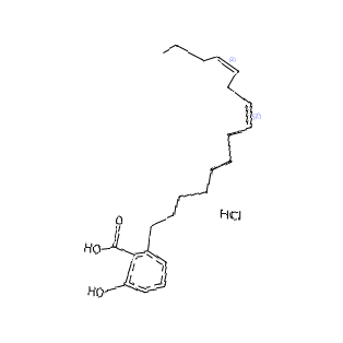 CCC/C=C\C/C=C\CCCCCCCc1cccc(O)c1C(=O)O.Cl